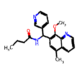 CCCC(=O)NC(c1cccnc1)c1cc(C)c2cccnc2c1OC